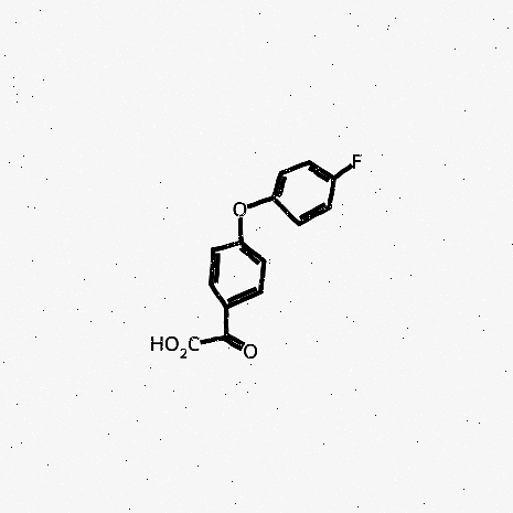 O=C(O)C(=O)c1ccc(Oc2ccc(F)cc2)cc1